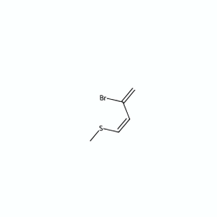 C=C(Br)/C=C\SC